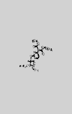 C[C@@H]1[C@@H](CO)O[C@@H](n2ccc(N(C(=O)OC(C)(C)C)C(=O)OC(C)(C)C)nc2=O)C1(F)F